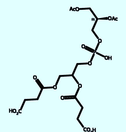 CC(=O)OC[C@H](COP(=O)(O)OCC(COC(=O)CCC(=O)O)OC(=O)CCC(=O)O)OC(C)=O